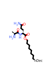 CCCCCCCCCCCCCCCCCCOC(=O)[C@@H](CCC(N)=O)NC(=O)[C@H](C)N